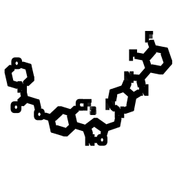 O=C(COc1ccc(-c2cc(Cn3cc4nc(-c5cccc(F)c5F)nc-4cn3)on2)c(C(F)(F)F)c1)N1CCOCC1